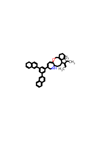 C/C=C(/CC)C1CCC2NCC(c3cc(-c4ccc5c(c4)C=CCC5)cc(-c4ccc5ccccc5c4)c3)=CC=C2OCC2=C1C(C)=CCC2